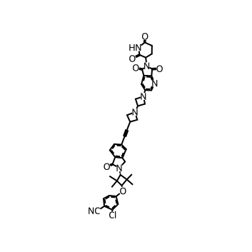 CC1(C)[C@H](Oc2ccc(C#N)c(Cl)c2)C(C)(C)[C@H]1N1Cc2cc(C#CC3CN(C4CN(c5cnc6c(c5)C(=O)N(C5CCC(=O)NC5=O)C6=O)C4)C3)ccc2C1=O